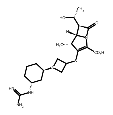 C[C@@H](O)[C@H]1C(=O)N2C(C(=O)O)=C(SC3CN([C@@H]4CCC[C@@H](NC(=N)N)C4)C3)[C@H](C)[C@H]12